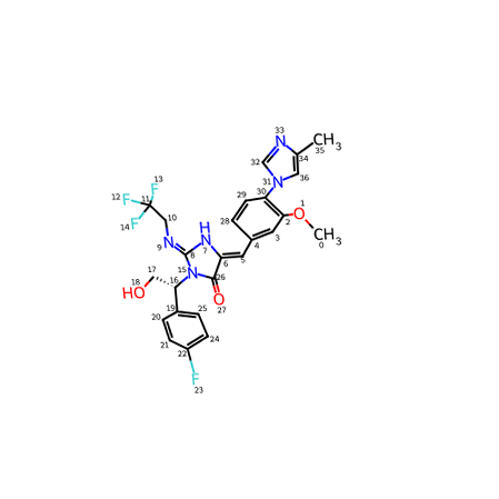 COc1cc(/C=C2\N/C(=N\CC(F)(F)F)N([C@@H](CO)c3ccc(F)cc3)C2=O)ccc1-n1cnc(C)c1